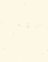 CC(C)(C)NCc1cc2c(Cl)ccnc2[nH]1